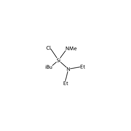 CCC(C)[Si](Cl)(NC)N(CC)CC